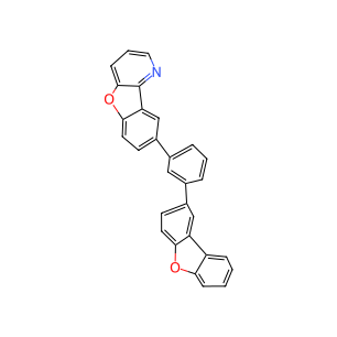 c1cc(-c2ccc3oc4ccccc4c3c2)cc(-c2ccc3oc4cccnc4c3c2)c1